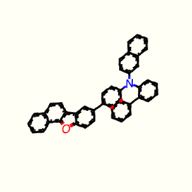 c1ccc(-c2ccccc2N(c2ccc(-c3ccc4oc5c6ccccc6ccc5c4c3)cc2)c2ccc3ccccc3c2)cc1